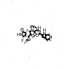 CC(C)C[C@H](NC(=O)c1cc2ccncc2[nH]1)C(=O)N[C@@H](C[C@@H]1CCNC1=O)C(=O)COC(F)(F)F